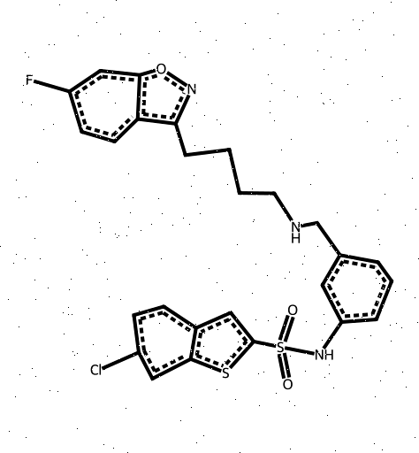 O=S(=O)(Nc1cccc(CNCCCCc2noc3cc(F)ccc23)c1)c1cc2ccc(Cl)cc2s1